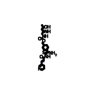 C/C(O)=C/C(=N)CNC(=O)OCC1CCc2c(sc(NC(=O)/C=C/C3=CN=CCC3)c2N)C1